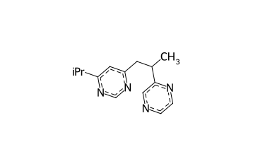 CC(C)c1cc(CC(C)c2cnccn2)ncn1